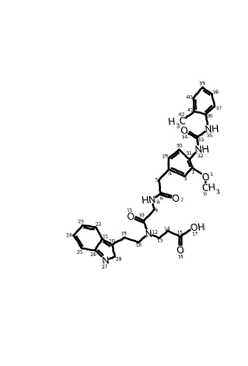 COc1cc(CC(=O)NCC(=O)N(CCC(=O)O)CCC2=c3ccccc3=NC2)ccc1NC(=O)Nc1ccccc1C